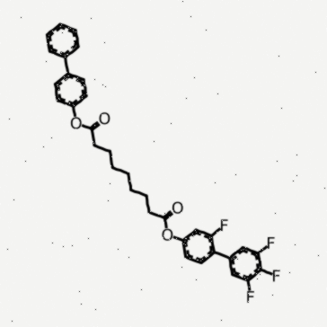 O=C(CCCCCCCC(=O)Oc1ccc(-c2cc(F)c(F)c(F)c2)c(F)c1)Oc1ccc(-c2ccccc2)cc1